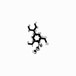 CCc1cc(C(CC)CC)cc(CC)c1N=C=S